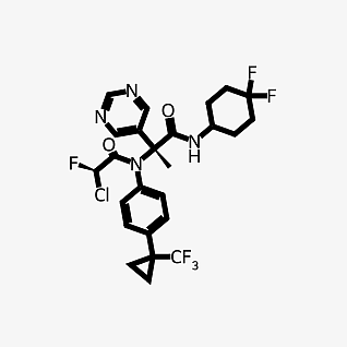 C[C@](C(=O)NC1CCC(F)(F)CC1)(c1cncnc1)N(C(=O)[C@H](F)Cl)c1ccc(C2(C(F)(F)F)CC2)cc1